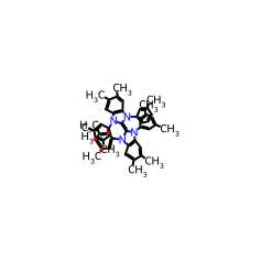 Cc1cccc(N2C(=C3N(c4cc(C)cc(C)c4)c4cc(C)c(C)cc4N3c3cc(C)cc(C)c3)N(c3cc(C)cc(C)c3)c3cc(C)c(C)cc32)c1